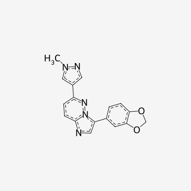 Cn1cc(-c2ccc3ncc(-c4ccc5c(c4)OCO5)n3n2)cn1